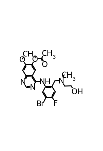 COc1cc2ncnc(Nc3cc(Br)c(F)cc3CN(C)CCO)c2cc1OC(C)=O